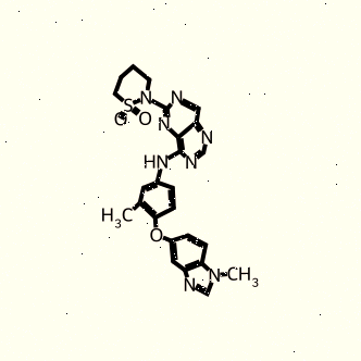 Cc1cc(Nc2ncnc3cnc(N4CCCCS4(=O)=O)nc23)ccc1Oc1ccc2c(c1)ncn2C